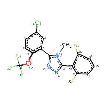 Cn1c(-c2cc(Cl)ccc2OC(F)(F)F)nnc1-c1c(F)cccc1F